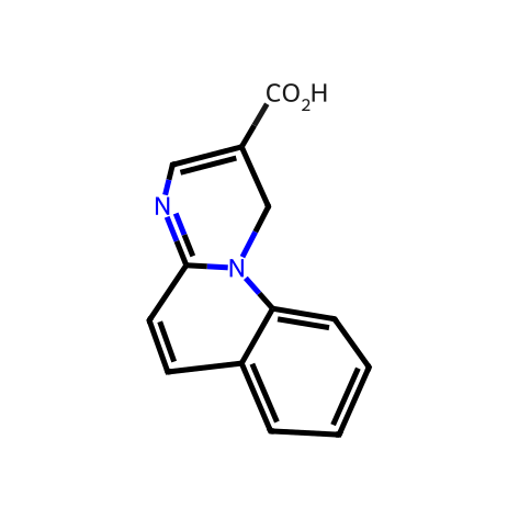 O=C(O)C1=CN=C2C=Cc3ccccc3N2C1